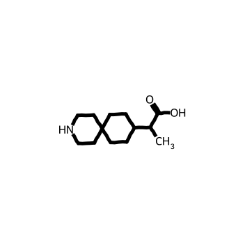 CC(C(=O)O)C1CCC2(CCNCC2)CC1